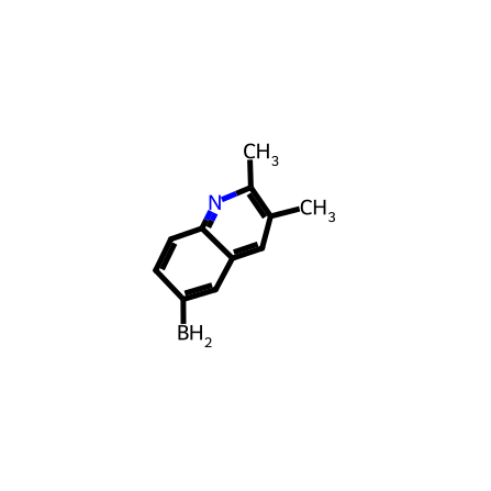 Bc1ccc2nc(C)c(C)cc2c1